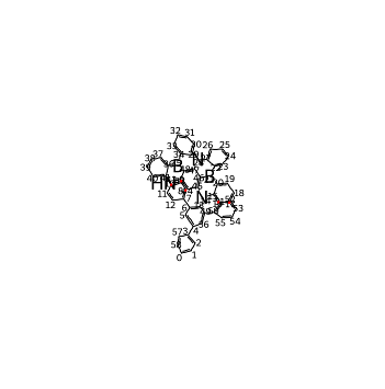 c1ccc(-c2cc(-c3ccccc3)c(N3c4ccccc4B4c5ccccc5N5c6ccccc6B6c7ccccc7Nc7cc3c4c5c76)c(-c3ccccc3)c2)cc1